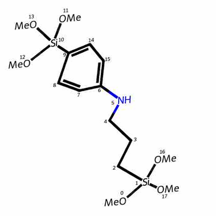 CO[Si](CCCNc1ccc([Si](OC)(OC)OC)cc1)(OC)OC